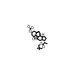 COC(=O)O[C@@H]1CC2=CC=C3[C@@H]4CC[C@H](C(C)C5OCC(C)(C)CO5)[C@@]4(C)CC[C@@H]3[C@@]2(C)[C@@H](O)C1